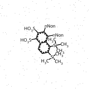 CCCCCCCCCc1c(S(=O)(=O)O)c(S(=O)(=O)O)c2ccc([Si](C)(C)C)c([Si](C)(C)C)c2c1CCCCCCCCC